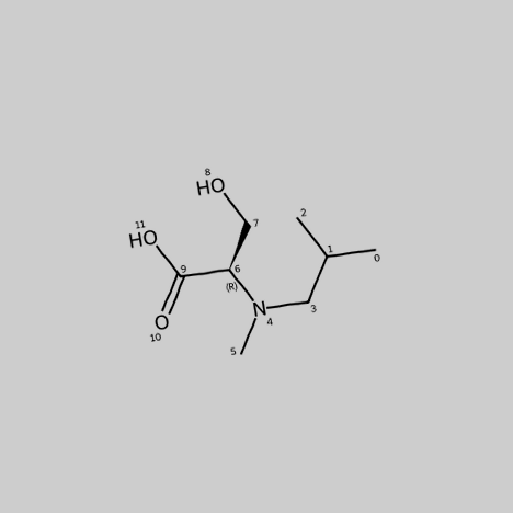 CC(C)CN(C)[C@H](CO)C(=O)O